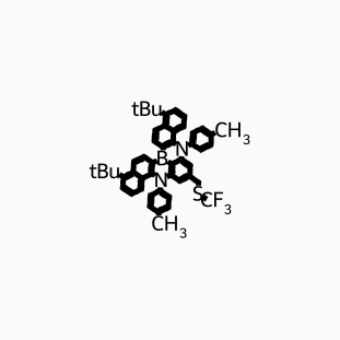 Cc1ccc(N2c3cc(CSC(F)(F)F)cc4c3B(c3ccc5c(C(C)(C)C)cccc5c32)c2ccc3c(C(C)(C)C)cccc3c2N4c2ccc(C)cc2)cc1